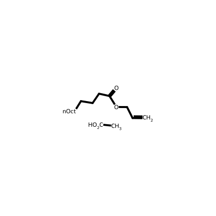 C=CCOC(=O)CCCCCCCCCCC.CC(=O)O